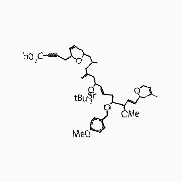 C=C(CC(C)CC1CC=CC(CC#CC(=O)O)O1)CC(/C=C/CC(OCc1ccc(OC)cc1)C(/C=C/C1CC(C)=CCO1)OC)O[Si](C)(C)C(C)(C)C